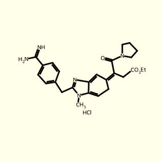 CCOC(=O)CC(C(=O)N1CCCC1)=C1C=c2nc(Cc3ccc(C(=N)N)cc3)n(C)c2=CC1.Cl